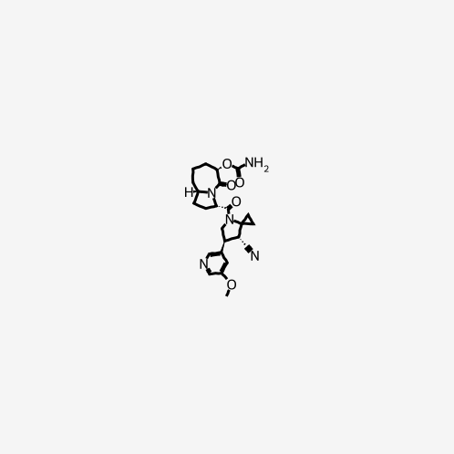 COc1cncc([C@H]2CN(C(=O)[C@@H]3CC[C@@H]4CCC[C@H](OC(N)=O)C(=O)N43)C3(CC3)[C@@H]2C#N)c1